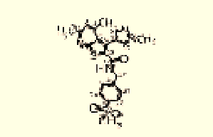 Cc1cc(C)c2c(-c3cnn(C)c3)c(C(=O)NCc3ccc(S(C)(=O)=O)cc3)sc2n1